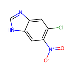 O=[N+]([O-])c1cc2[nH]cnc2cc1Cl